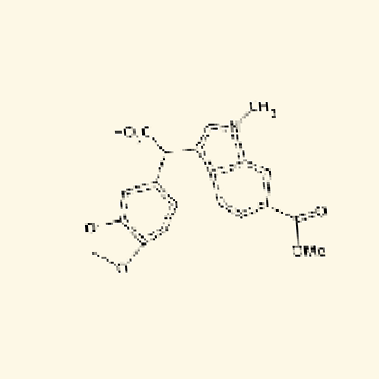 COC(=O)c1ccc2c(C(C(=O)O)c3ccc4c(c3)OCO4)cn(C)c2c1